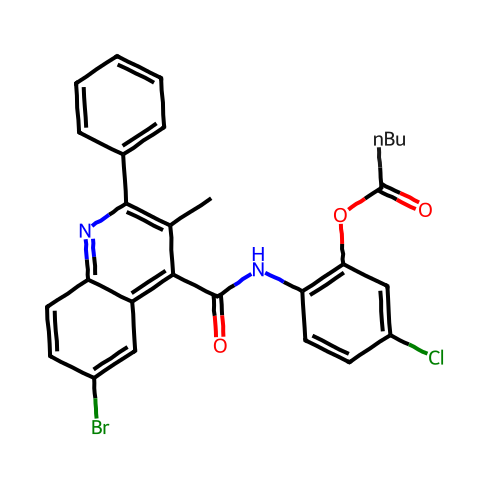 CCCCC(=O)Oc1cc(Cl)ccc1NC(=O)c1c(C)c(-c2ccccc2)nc2ccc(Br)cc12